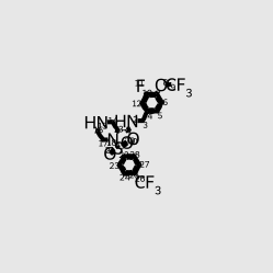 O=C(NCc1ccc(OC(F)(F)F)c(F)c1)[C@H]1CNCCN1S(=O)(=O)c1ccc(C(F)(F)F)cc1